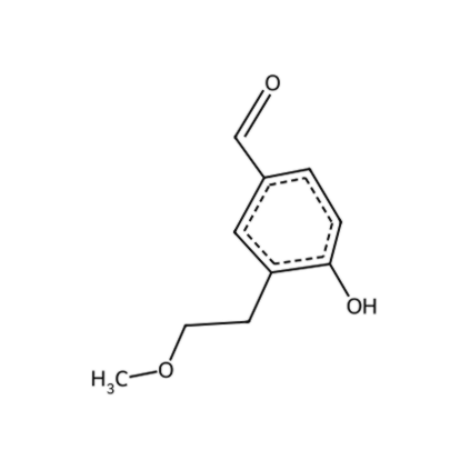 COCCc1cc(C=O)ccc1O